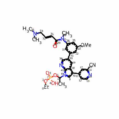 CCOP(=O)(O)OC(C)n1cc(-c2ccnc(C#N)c2)c2cc(-c3cc(OC)cc(N(C)C(=O)C=CCN(C)C)c3)cnc21